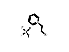 BrCC[n+]1ccccc1.F[B-](F)(F)F